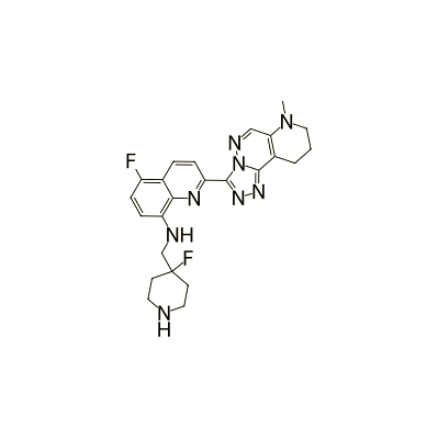 CN1CCCc2c1cnn1c(-c3ccc4c(F)ccc(NCC5(F)CCNCC5)c4n3)nnc21